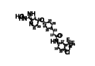 N=C(NO)c1cc(Oc2ccc(CCC(=O)Nc3ccc(Cl)c(C(F)(F)F)c3)cc2)ccn1